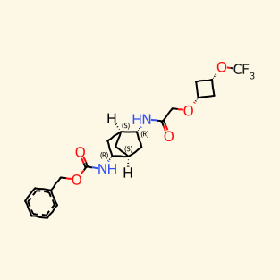 O=C(CO[C@H]1C[C@@H](OC(F)(F)F)C1)N[C@@H]1C[C@@H]2C[C@H]1C[C@H]2NC(=O)OCc1ccccc1